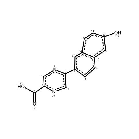 O=C(O)c1cnc(-c2ccc3cc(O)ccc3c2)cn1